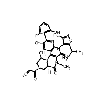 C=CC(=O)N1C[C@@H](C)N2c3c(c(=O)n(-c4c(C)noc4C(C)C)c4nc(-c5c(O)cccc5F)c(Cl)cc34)N(C)C(=O)[C@H]2C1